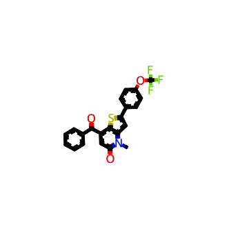 Cn1c(=O)cc(C(=O)c2ccccc2)c2sc(-c3ccc(OC(F)(F)F)cc3)cc21